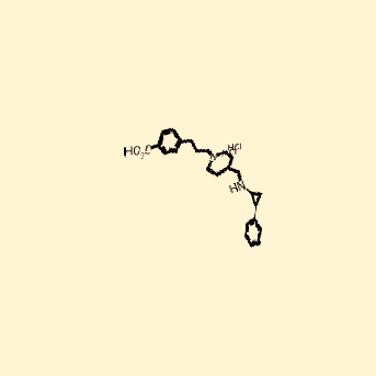 Cl.Cl.O=C(O)c1ccc(CCCN2CCC(CN[C@@H]3C[C@H]3c3ccccc3)CC2)cc1